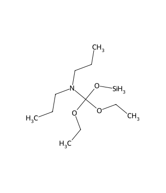 CCCN(CCC)C(O[SiH3])(OCC)OCC